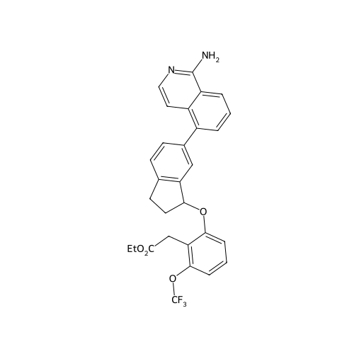 CCOC(=O)Cc1c(OC2CCc3ccc(-c4cccc5c(N)nccc45)cc32)cccc1OC(F)(F)F